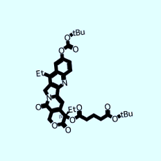 CCc1c2c(nc3ccc(OC(=O)OC(C)(C)C)cc13)-c1cc3c(c(=O)n1C2)COC(=O)[C@@]3(CC)OC(=O)CCCC(=O)OC(C)(C)C